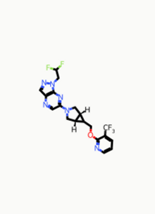 FC(F)Cn1ncc2ncc(N3C[C@@H]4C(COc5ncccc5C(F)(F)F)[C@@H]4C3)nc21